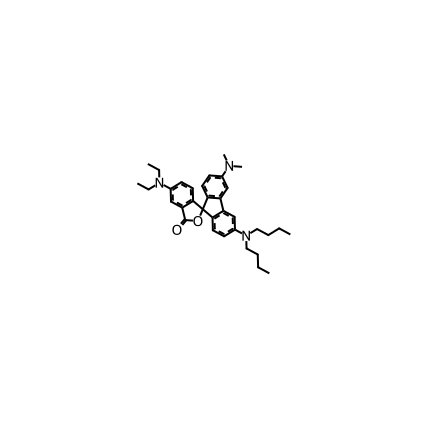 CCCCN(CCCC)c1ccc2c(c1)-c1cc(N(C)C)ccc1C21OC(=O)c2cc(N(CC)CC)ccc21